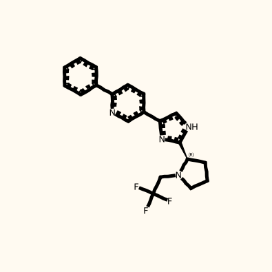 FC(F)(F)CN1CCC[C@@H]1c1nc(-c2ccc(-c3ccccc3)nc2)c[nH]1